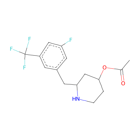 CC(=O)OC1CCNC(Cc2cc(F)cc(C(F)(F)F)c2)C1